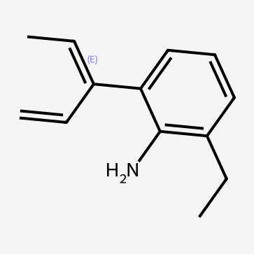 C=C/C(=C\C)c1cccc(CC)c1N